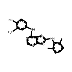 Cc1cccc(C)c1Nc1nc2c(Nc3ccc(C#N)c(C(F)(F)F)c3)ncnc2s1